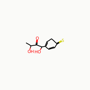 CC(O)C(=O)C(O)C1=CCC(=S)C=C1